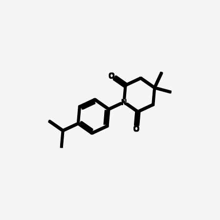 CC(C)c1ccc(N2C(=O)CC(C)(C)CC2=O)cc1